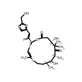 C/C1=C/C[C@@H](C(F)=Cc2csc(CO)n2)OC(=O)C[C@H](O)C(C)(C)C(=O)[C@H](C)[C@@H](O)[C@@H](C)CCC1